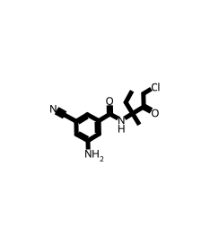 CCC(C)(NC(=O)c1cc(N)cc(C#N)c1)C(=O)CCl